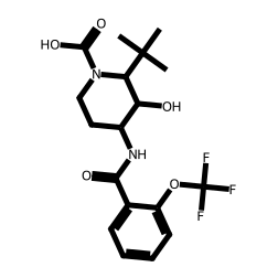 CC(C)(C)C1C(O)C(NC(=O)c2ccccc2OC(F)(F)F)CCN1C(=O)O